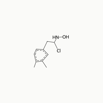 Cc1ccc(CC(Cl)NO)cc1C